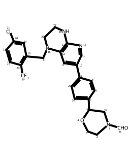 O=CN1CCOC(c2ccc(-c3cnc4c(c3)N(Cc3cc(Cl)ccc3C(F)(F)F)CCN4)cc2)C1